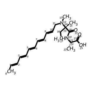 CC=CC=CC=CC=CC=CCN(C)[C@@](C)(CC)C(=O)N[C@@H](C)C(=O)O